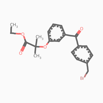 CCOC(=O)C(C)(C)Oc1cccc(C(=O)c2ccc(CBr)cc2)c1